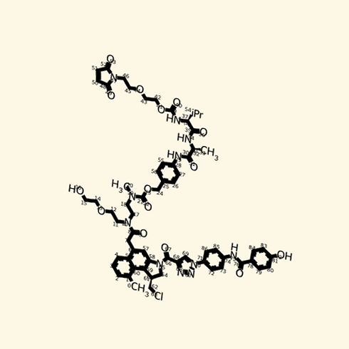 Cc1cccc2c(CC(=O)N(CCOCCO)CCN(C)C(=O)OCc3ccc(NC(=O)[C@H](C)NC(=O)[C@@H](NC(=O)OCCOCCN4C(=O)C=CC4=O)C(C)C)cc3)cc3c(c12)[C@H](CCl)CN3C(=O)c1cn(-c2ccc(NC(=O)c3ccc(O)cc3)cc2)nn1